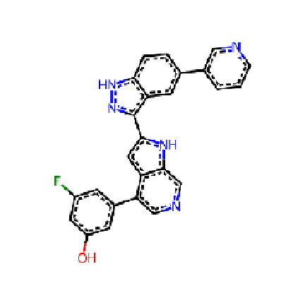 Oc1cc(F)cc(-c2cncc3[nH]c(-c4n[nH]c5ccc(-c6cccnc6)cc45)cc23)c1